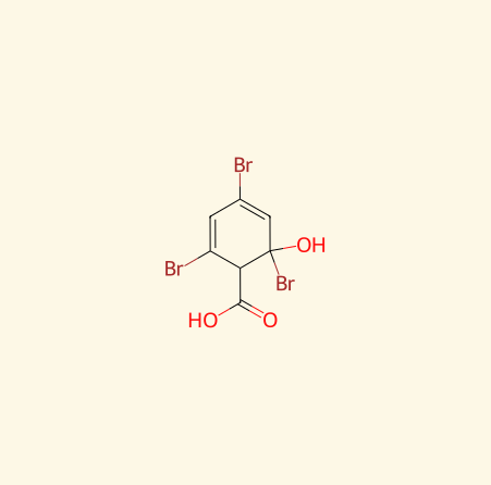 O=C(O)C1C(Br)=CC(Br)=CC1(O)Br